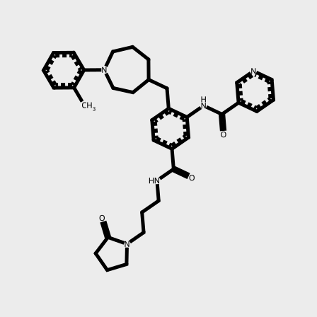 Cc1ccccc1N1CCCC(Cc2ccc(C(=O)NCCCN3CCCC3=O)cc2NC(=O)c2cccnc2)CC1